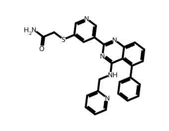 NC(=O)CSc1cncc(-c2nc(NCc3ccccn3)c3c(-c4ccccc4)cccc3n2)c1